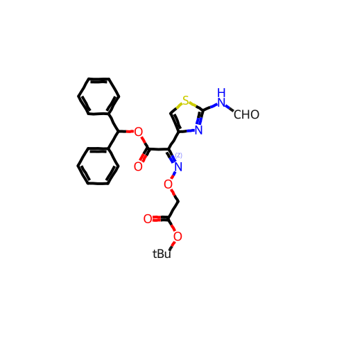 CC(C)(C)OC(=O)CO/N=C(\C(=O)OC(c1ccccc1)c1ccccc1)c1csc(NC=O)n1